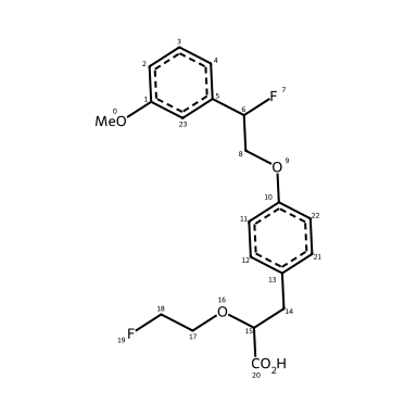 COc1cccc(C(F)COc2ccc(CC(OCCF)C(=O)O)cc2)c1